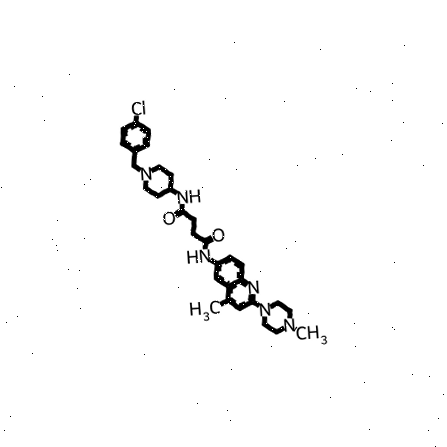 Cc1cc(N2CCN(C)CC2)nc2ccc(NC(=O)CCC(=O)NC3CCN(Cc4ccc(Cl)cc4)CC3)cc12